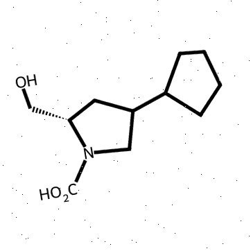 O=C(O)N1CC(C2CCCC2)C[C@H]1CO